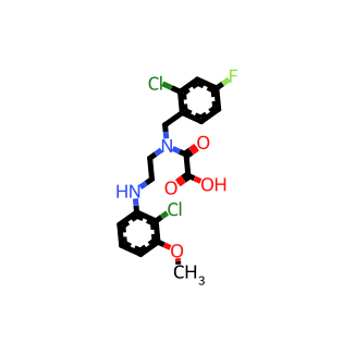 COc1cccc(NCCN(Cc2ccc(F)cc2Cl)C(=O)C(=O)O)c1Cl